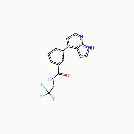 O=C(NCC(F)(F)F)c1cccc(-c2ccnc3[nH]ccc23)c1